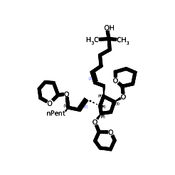 CCCCC[C@@H](/C=C/[C@@H]1[C@@H](C/C=C\CCCC(C)(C)O)[C@@H](OC2CCCCO2)C[C@H]1OC1CCCCO1)OC1CCCCO1